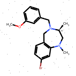 COc1cccc(CN2Cc3ccc(Br)cc3N(C)C[C@@H]2C)c1